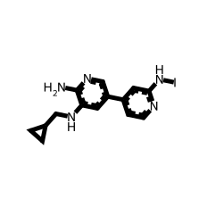 Nc1ncc(-c2ccnc(NI)c2)cc1NCC1CC1